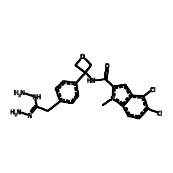 Cn1c(C(=O)NC2(c3ccc(C/C(=N/N)NN)cc3)COC2)cc2c(Cl)c(Cl)ccc21